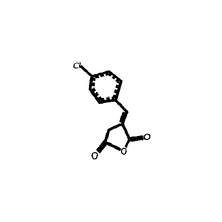 O=C1C/C(=C\c2ccc(Cl)cc2)C(=O)O1